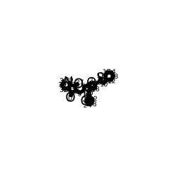 O=C1/C(=C/c2cc3oc(-c4cc5ccccc5s4)cc3n2-c2ccco2)C(=O)c2ncccc21